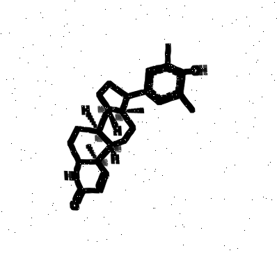 Cc1cc(C2CC[C@H]3[C@@H]4CCC5NC(=O)C=C[C@]5(C)[C@@H]4CC[C@]23C)cc(C)c1O